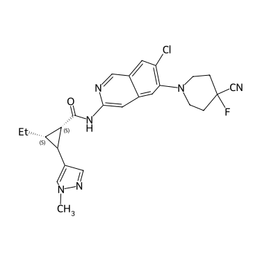 CC[C@H]1C(c2cnn(C)c2)[C@H]1C(=O)Nc1cc2cc(N3CCC(F)(C#N)CC3)c(Cl)cc2cn1